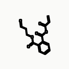 C=CC(=O)OC(=O)c1ccccc1C(=O)OCCC=O